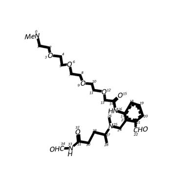 CNCCOCCOCCOCCOCC(=O)Nc1cccc(C=O)c1CN(C)C(C)CCC(=O)NC=O